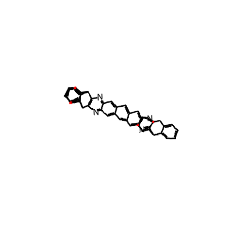 c1ccc2c(c1)C1c3ccccc3C2c2nc3cc4cc5cc6nc7c(nc6cc5cc4cc3nc21)C1c2ccccc2C7c2ccccc21